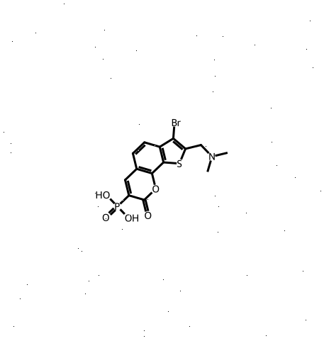 CN(C)Cc1sc2c(ccc3cc(P(=O)(O)O)c(=O)oc32)c1Br